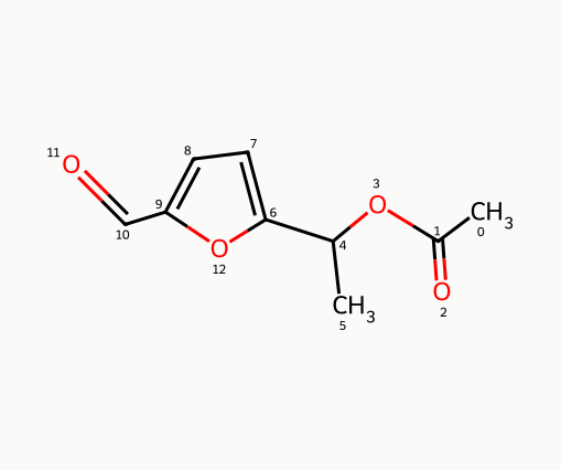 CC(=O)OC(C)c1ccc(C=O)o1